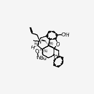 C=CC[N+]1(C)CC[C@]23c4c5ccc(O)c4OC2(Cc2ccccc2)C(=O)CC[C@@]3(OCCCC)[C@H]1C5